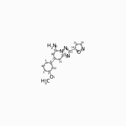 COc1cccc(-c2cc(N)n3nc(-c4ccno4)nc3c2)c1